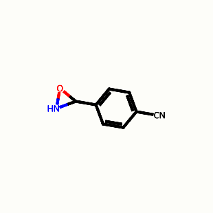 N#Cc1ccc(C2NO2)cc1